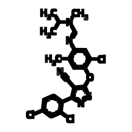 Cc1cc(Oc2snc(-c3ccc(Cl)cc3Cl)c2C#N)c(Cl)cc1N=CN(C)C(C)C